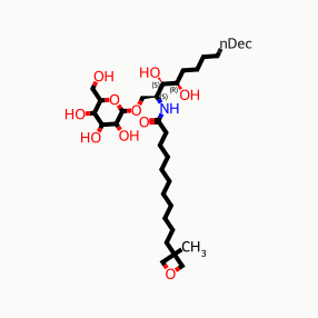 CCCCCCCCCCCCCC[C@@H](O)[C@@H](O)[C@H](COC1OC(CO)C(O)C(O)C1O)NC(=O)CCCCCCCCCCC1(C)COC1